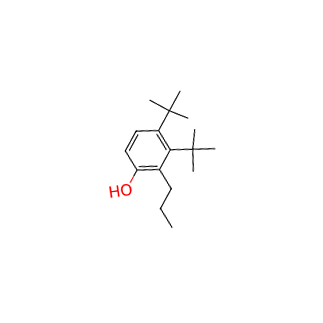 CCCc1c(O)ccc(C(C)(C)C)c1C(C)(C)C